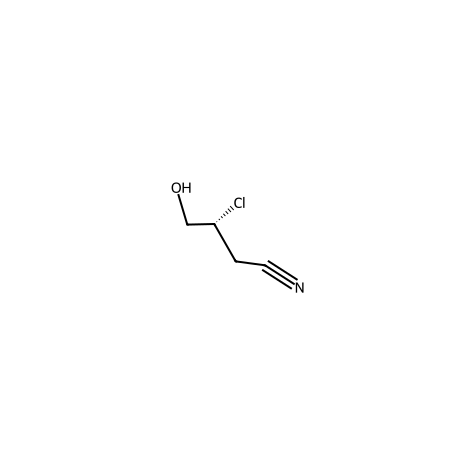 N#CC[C@@H](Cl)CO